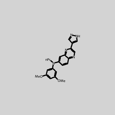 CCCN(c1cc(OC)cc(OC)c1)c1ccc2ncc(-c3cn[nH]c3)nc2c1